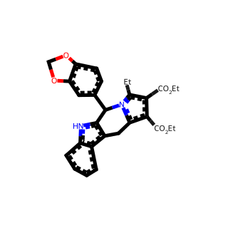 CCOC(=O)c1c(C(=O)OCC)c2n(c1CC)C(c1ccc3c(c1)OCO3)c1[nH]c3ccccc3c1C2